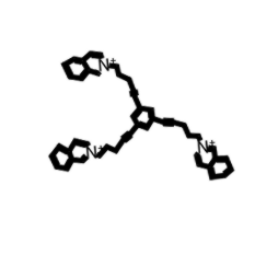 C(#Cc1cc(C#CCCC[n+]2ccc3ccccc3c2)cc(C#CCCC[n+]2ccc3ccccc3c2)c1)CCC[n+]1ccc2ccccc2c1